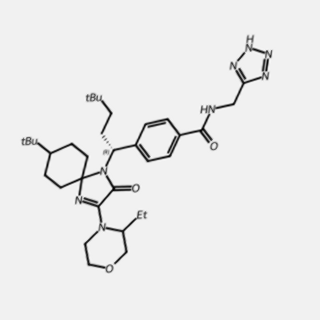 CCC1COCCN1C1=NC2(CCC(C(C)(C)C)CC2)N([C@H](CCC(C)(C)C)c2ccc(C(=O)NCc3nn[nH]n3)cc2)C1=O